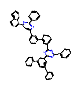 c1ccc(-c2cc(-c3ccccc3)cc(-c3nc(-c4ccccc4)nc(-c4cccc(-c5cccc(-c6cc(-c7cccc8ccccc78)nc(-c7ccccc7)n6)c5)c4)n3)c2)cc1